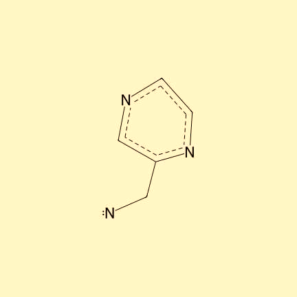 [N]Cc1cnccn1